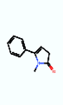 CN1C(=O)CC=C1c1ccccc1